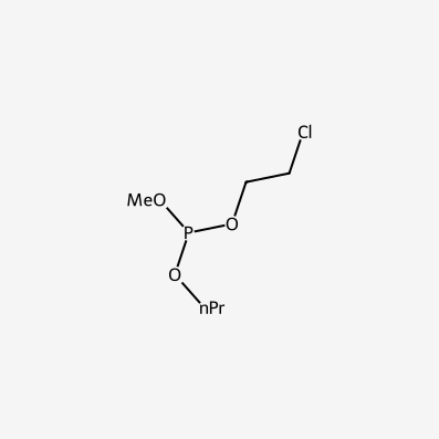 CCCOP(OC)OCCCl